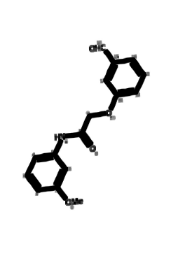 COc1cccc(NC(=O)COc2cccc(C=O)c2)c1